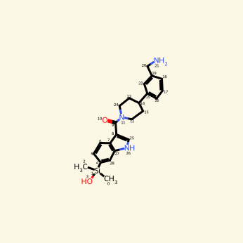 C[Si](C)(O)c1ccc2c(C(=O)N3CCC(c4cccc(CN)c4)CC3)c[nH]c2c1